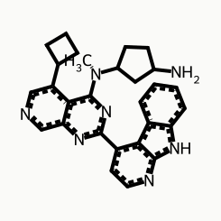 CN(c1nc(-c2ccnc3[nH]c4ccccc4c23)nc2cncc(C3CCC3)c12)C1CCC(N)C1